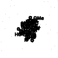 CO[C@H]1OC(COS(=O)(=O)O)[C@@H](O[C@@H]2OC(C)[C@@H](O[C@H]3OC(COS(=O)(=O)O)[C@H](O[C@@H]4OC(C)[C@@H](O[C@H]5OC(COS(=O)(=O)O)[C@@H](O[C@@H]6OC(C)[C@@H](O[C@@H]7OC(COS(=O)(=O)O)[C@H](O[C@@H]8OC(C)[C@@H](C)[C@@H](OCc9ccccc9)C8OOO)[C@H](C)C7N=[N+]=[N-])[C@@H](OCc7ccccc7)C6OOO)[C@H](C)C5N=[N+]=[N-])[C@@H](OCc5ccccc5)C4OOO)[C@H](C)C3N=[N+]=[N-])[C@@H](OCc3ccccc3)C2OOO)[C@H](C)C1C